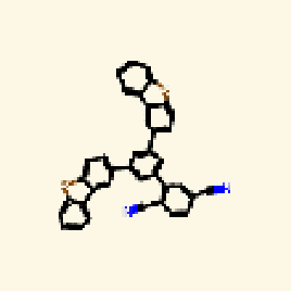 N#Cc1ccc(C#N)c(-c2cc(-c3ccc4sc5ccccc5c4c3)cc(-c3ccc4sc5ccccc5c4c3)c2)c1